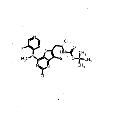 C[C@@H](Cc1sc2c(N(C)c3ccncc3F)nc(Cl)nc2c1Br)NC(=O)OC(C)(C)C